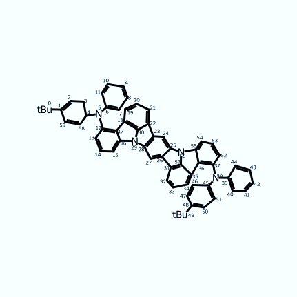 CC(C)(C)C1=CCC(N(c2ccccc2)c2cccc3c2c2cccc4c5cc6c(cc5n3c42)c2cccc3c4c(N(c5ccccc5)c5ccc(C(C)(C)C)cc5)cccc4n6c23)C=C1